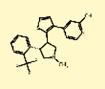 Cc1cc(-c2ccsc2[C@H]2CN(C)C[C@@H]2c2ccccc2C(F)(F)F)ccn1